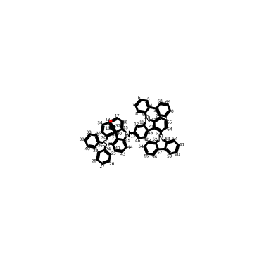 c1ccc(-c2ccccc2-n2c3cc(-n4c5ccccc5c5c([Si](c6ccccc6)(c6ccccc6)c6ccccc6)cccc54)ccc3c3c(-n4c5ccccc5c5ccccc54)cccc32)cc1